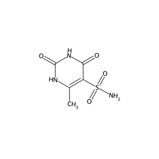 Cc1[nH]c(=O)[nH]c(=O)c1S(N)(=O)=O